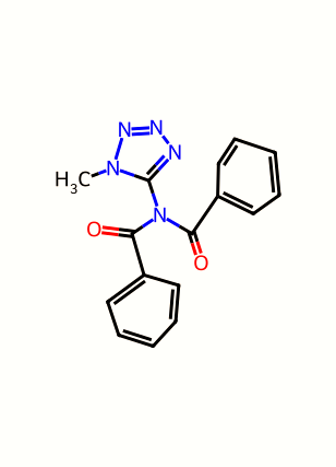 Cn1nnnc1N(C(=O)c1ccccc1)C(=O)c1ccccc1